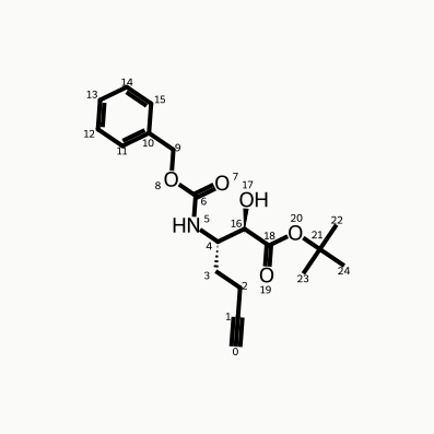 C#CCC[C@H](NC(=O)OCc1ccccc1)[C@@H](O)C(=O)OC(C)(C)C